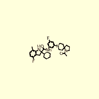 CC(=O)N1CCCC12CCN(c1cc(F)cc(NC(=O)C3(C4CCCCC4)Cc4c(F)ccc(C)c4N3)c1)CC2